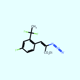 CCOC(=O)/C(=C\c1ccc(F)cc1C(C)(F)F)N=[N+]=[N-]